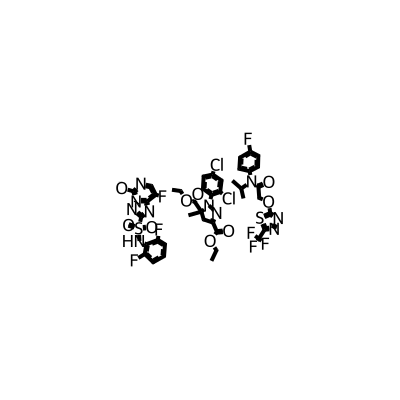 CC(C)N(C(=O)COc1nnc(C(F)(F)F)s1)c1ccc(F)cc1.CCOC(=O)C1=NN(c2ccc(Cl)cc2Cl)C(C)(C(=O)OCC)C1.COc1ncc(F)c2nc(S(=O)(=O)Nc3c(F)cccc3F)nn12